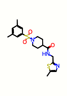 Cc1cc(C)cc(S(=O)(=O)N2CCC(C(=O)NCc3ncc(C)s3)CC2)c1